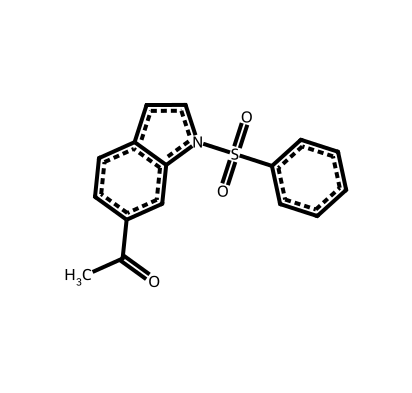 CC(=O)c1ccc2ccn(S(=O)(=O)c3ccccc3)c2c1